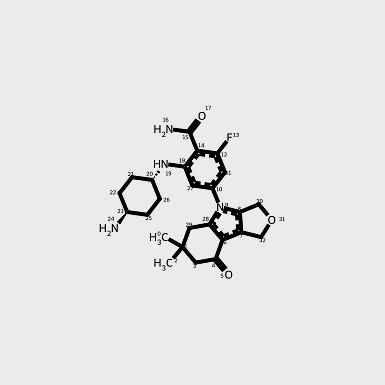 CC1(C)CC(=O)c2c3c(n(-c4cc(F)c(C(N)=O)c(N[C@H]5CC[C@H](N)CC5)c4)c2C1)COC3